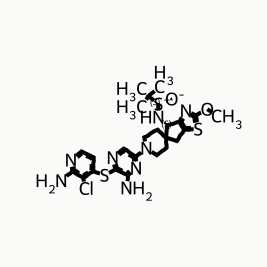 COc1nc2c(s1)CC1(CCN(c3cnc(Sc4ccnc(N)c4Cl)c(N)n3)CC1)[C@@H]2N[S@+]([O-])C(C)(C)C